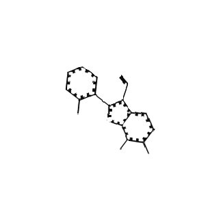 O=Cc1c(-c2ccccc2Cl)[nH]c2c(F)c(F)ccc12